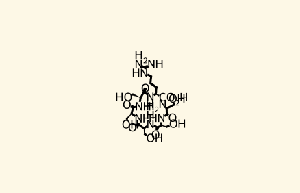 N=C(N)NCCC[C@H](NC(=O)[C@H](CO)NC(=O)[C@H](CO)NC(=O)[C@H](CO)NC(=O)[C@H](CO)NC(=O)[C@@H](N)CO)C(=O)O